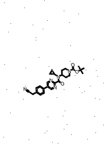 CC(C)(C)OC(=O)N1CCC(N(C(=O)c2ncc(-c3ccc(CC#N)cc3)cn2)C2CC2)CC1